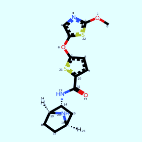 COc1ncc(Oc2ccc(C(=O)N[C@@H]3C[C@H]4CC[C@@H]3N4)s2)s1